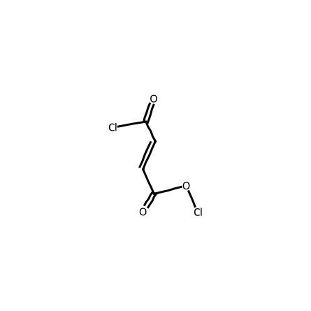 O=C(Cl)/C=C/C(=O)OCl